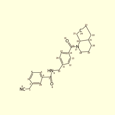 N#CCc1cccc(C(=O)NCc2ccc(C(=O)N3CCCC4CCCCC43)cc2)c1